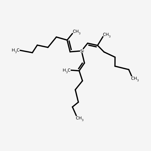 CCCCCC(C)=C[Si](C=C(C)CCCCC)C=C(C)CCCCC